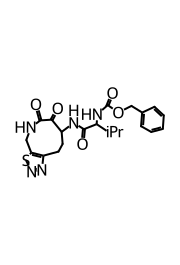 CC(C)C(NC(=O)OCc1ccccc1)C(=O)NC1CCc2nnsc2CNC(=O)C1=O